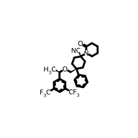 C[C@@H](OC[C@]1(c2ccccc2)CC[C@@](C#N)(N2CCCCC2=O)CC1)c1cc(C(F)(F)F)cc(C(F)(F)F)c1